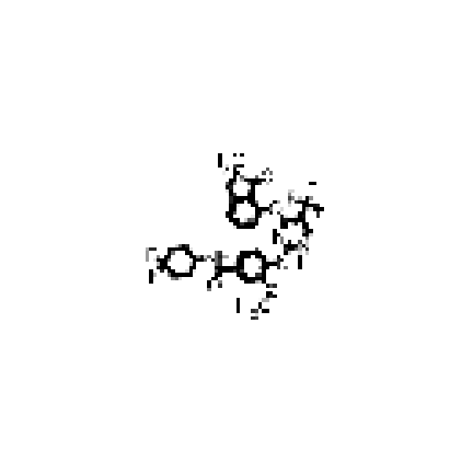 COc1cc(C(=O)NC2CCC(F)(F)CC2)ccc1Nc1ncc(C(F)(F)F)c(Oc2cccc3c2C(=O)N(C)C3)n1